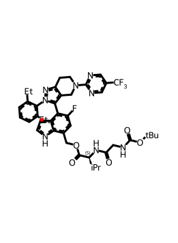 CCc1cccc(CC)c1-n1nc2c(c1-c1c(F)cc(COC(=O)[C@@H](NC(=O)CNC(=O)OC(C)(C)C)C(C)C)c3[nH]ccc13)CN(c1ncc(C(F)(F)F)cn1)CC2